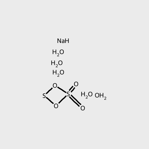 O.O.O.O.O.O=S1(=O)OSO1.[NaH]